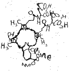 C=Cc1c(C)c2cc3nc(cc4[nH]c(cc5nc(cc1[nH]2)C(C)=C5CCC(=O)N[C@@H](CC(=O)O)C(=O)O)c(CCC(=O)N[C@@H](CC(=O)O)C(=O)O)c4C)[C@@]1(C)C3=CC=C(C(=O)OC)[C@H]1C(=O)OC